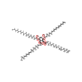 CCCCCCCCCCCCCCCCCC(=O)Oc1ccc(OC(=O)CCCCCCCCCCCCCCCCC)c(C(OC(=O)CCCCCCCCCCCCCCCCC)OC(=O)CCCCCCCCCCCCCCCCC)c1